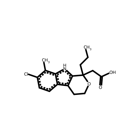 CCCC1(CC(=O)O)OCCc2c1[nH]c1c(C)c(Cl)ccc21